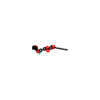 CCCCCCCCCCCCOc1ccc(C(=O)Oc2ccc(-c3ccc(OC(C)C[Si](C)(C)O[Si](C)(C)C)c(F)c3)cc2)cc1C